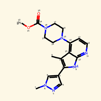 Cc1c(-c2cnn(C)c2)[nH]c2nccc(N3CCN(C(=O)OC(C)C)CC3)c12